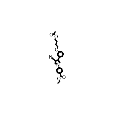 CCOC(=O)c1ccc(-n2cc(C#N)c(-c3cccc(OCCCCOC(C)=O)c3)c2)cc1